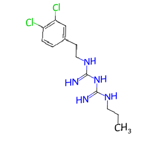 CCCNC(=N)NC(=N)NCCc1ccc(Cl)c(Cl)c1